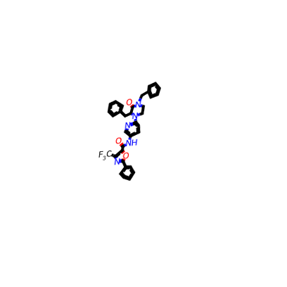 O=C(Nc1ccc(N2CCN(Cc3ccccc3)C(=O)C2Cc2ccccc2)nc1)c1oc(-c2ccccc2)nc1C(F)(F)F